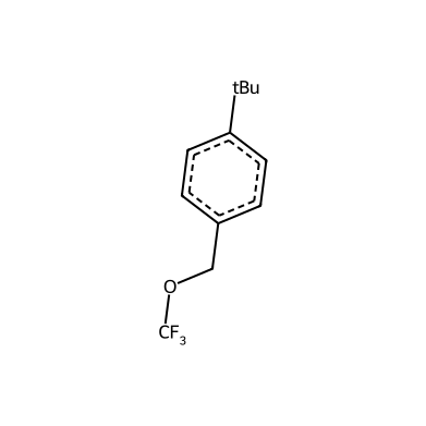 CC(C)(C)c1ccc(COC(F)(F)F)cc1